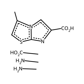 CC(=O)O.CN.CN.Cc1csc2nc(C(=O)O)cn12